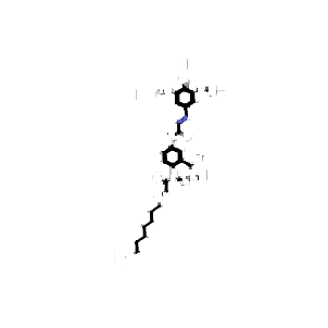 CCCCCCCCOCC(=O)N(C)c1ccc(NC(=O)/C=C/c2cc(OC)c(O)c(OC)c2)cc1C(=O)O